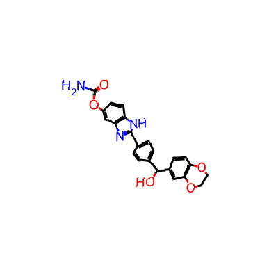 NC(=O)Oc1ccc2[nH]c(-c3ccc(C(O)c4ccc5c(c4)OCCO5)cc3)nc2c1